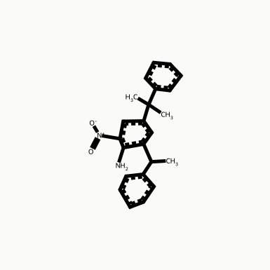 CC(c1ccccc1)c1cc(C(C)(C)c2ccccc2)cc([N+](=O)[O-])c1N